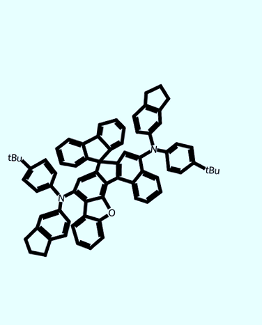 CC(C)(C)c1ccc(N(c2ccc3c(c2)CCC3)c2cc3c(c4ccccc24)-c2c(cc(N(c4ccc(C(C)(C)C)cc4)c4ccc5c(c4)CCC5)c4c2oc2ccccc24)C32c3ccccc3-c3ccccc32)cc1